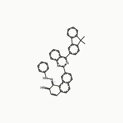 CC1(C)c2ccccc2-c2cc(-c3nc(-c4ccc5ccc6c(c5c4)/C(=N/Nc4ccccc4)C(=N)C=C6)nc4ccccc34)ccc21